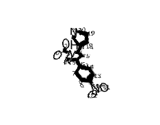 O=C(O)N1N=C(c2ccc([N+](=O)[O-])cc2)CC1c1cccnc1